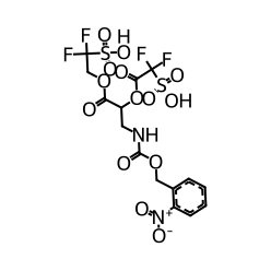 O=C(NCC(OC(=O)C(F)(F)S(=O)(=O)O)C(=O)OCC(F)(F)S(=O)(=O)O)OCc1ccccc1[N+](=O)[O-]